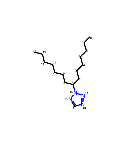 CCCCCCCC(CCCCCCC)n1ncnn1